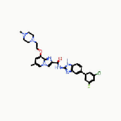 Cc1cc(OCCN2CCN(C)CC2)c2nc(C(=O)Nc3nc4cc(-c5cc(F)cc(Cl)c5)ccc4[nH]3)cn2c1